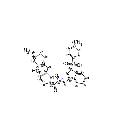 Cc1ccc(S(=O)(=O)n2cc(/C=C3\Oc4c(ccc(O)c4CN4CCN(C)CC4)C3=O)c3ccccc32)cc1